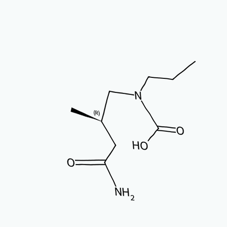 CCCN(C[C@H](C)CC(N)=O)C(=O)O